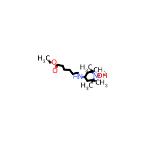 CCOC(=O)CCCCCNC1CC(C)(C)N(O)C(C)(C)C1